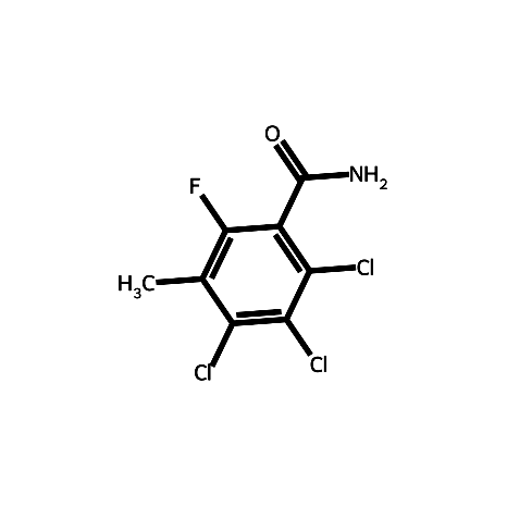 Cc1c(F)c(C(N)=O)c(Cl)c(Cl)c1Cl